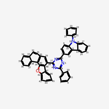 c1ccc(-c2nc(-c3ccc4c(c3)c3ccccc3n4-c3ccccc3)nc(-c3cc4ccc5ccccc5c4c4oc5ccccc5c34)n2)cc1